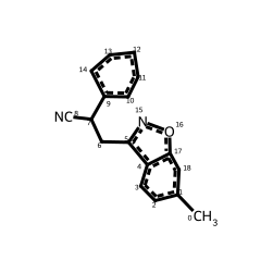 Cc1ccc2c(CC(C#N)c3ccccc3)noc2c1